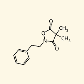 CC1(C)C(=O)ON(CCc2ccccc2)C1=O